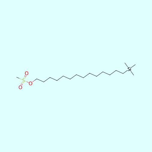 C[Si](C)(C)CCCCCCCCCCCCCCOS(C)(=O)=O